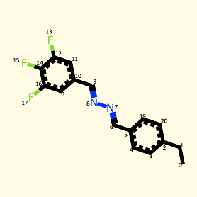 CCc1ccc(C=NN=Cc2cc(F)c(F)c(F)c2)cc1